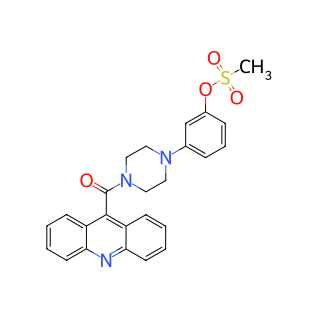 CS(=O)(=O)Oc1cccc(N2CCN(C(=O)c3c4ccccc4nc4ccccc34)CC2)c1